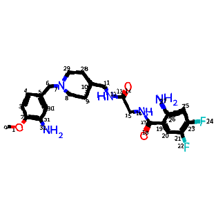 COc1ccc(CN2CCC(CNC(=O)CNC(=O)c3cc(F)c(F)cc3N)CC2)cc1N